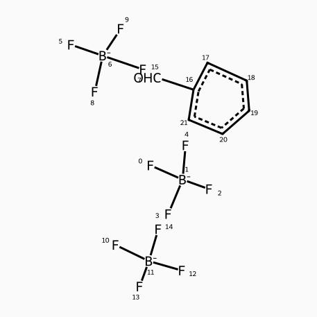 F[B-](F)(F)F.F[B-](F)(F)F.F[B-](F)(F)F.O=Cc1ccccc1